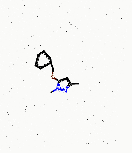 Cc1cc(SCc2ccccc2)n(C)n1